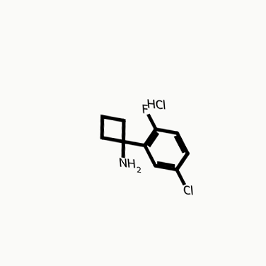 Cl.NC1(c2cc(Cl)ccc2F)CCC1